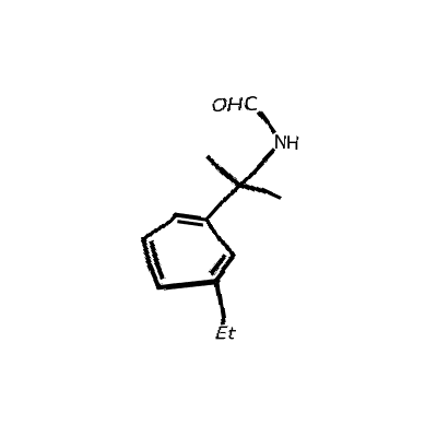 CCc1cccc(C(C)(C)NC=O)c1